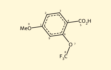 COc1ccc(C(=O)O)c(OC(F)(F)F)c1